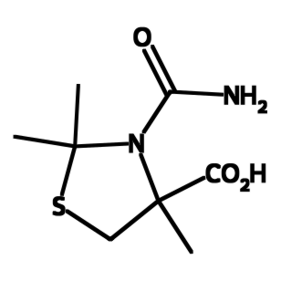 CC1(C)SCC(C)(C(=O)O)N1C(N)=O